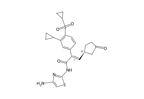 Nc1csc(NC(=O)/C(=C/[C@H]2CCC(=O)C2)c2ccc(S(=O)(=O)C3CC3)c(C3CC3)c2)n1